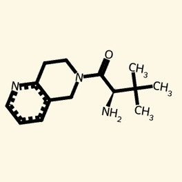 CC(C)(C)[C@@H](N)C(=O)N1CCc2ncccc2C1